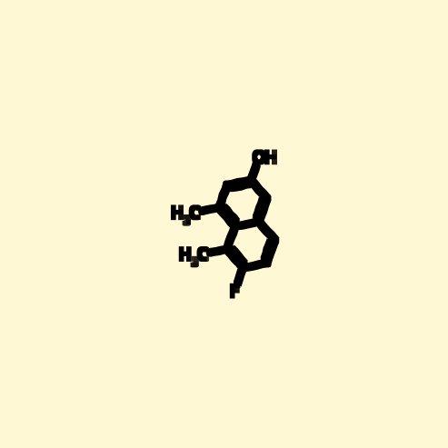 Cc1cc(O)cc2ccc(F)c(C)c12